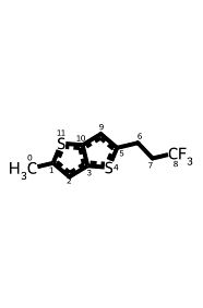 Cc1cc2sc(CCC(F)(F)F)cc2s1